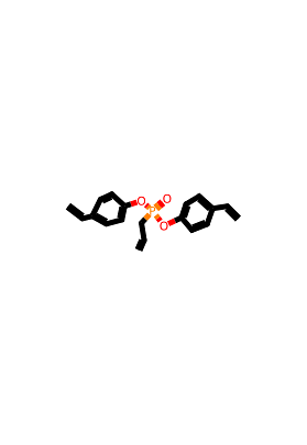 C=CCP(=O)(Oc1ccc(C=C)cc1)Oc1ccc(C=C)cc1